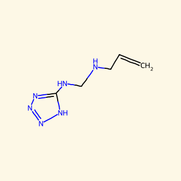 C=CCNCNc1nnn[nH]1